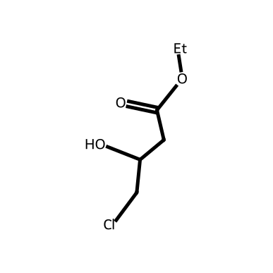 CCOC(=O)CC(O)CCl